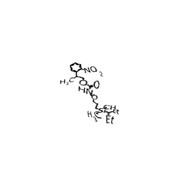 CCC(CC)[Si](C)(C)CCCONC(=O)OCC(C)c1ccccc1[N+](=O)[O-]